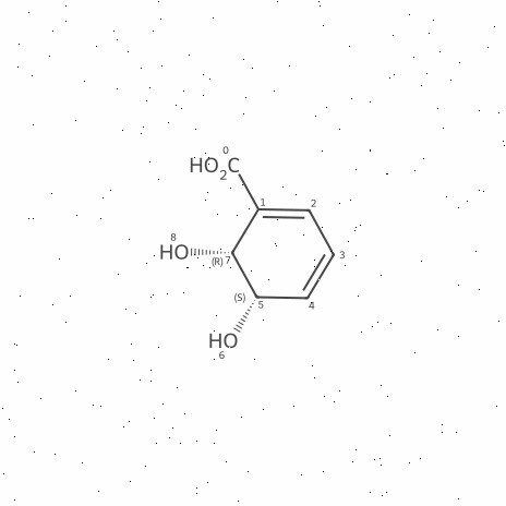 O=C(O)C1=CC=C[C@H](O)[C@@H]1O